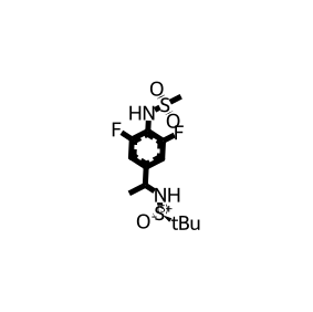 CC(N[S@+]([O-])C(C)(C)C)c1cc(F)c(NS(C)(=O)=O)c(F)c1